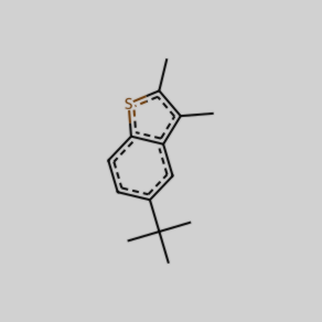 Cc1sc2ccc(C(C)(C)C)cc2c1C